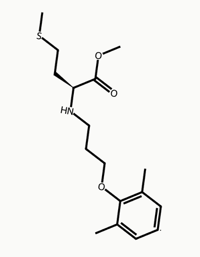 COC(=O)[C@H](CCSC)NCCCOc1c(C)c[c]cc1C